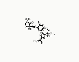 CN1CCC(O)(C#Cc2cc3c(cc2F)OCC(C)(O)c2sc(C(N)=O)nc2-3)C1=O